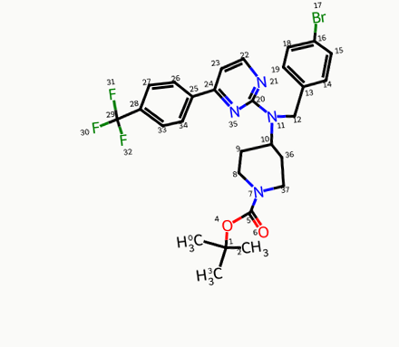 CC(C)(C)OC(=O)N1CCC(N(Cc2ccc(Br)cc2)c2nccc(-c3ccc(C(F)(F)F)cc3)n2)CC1